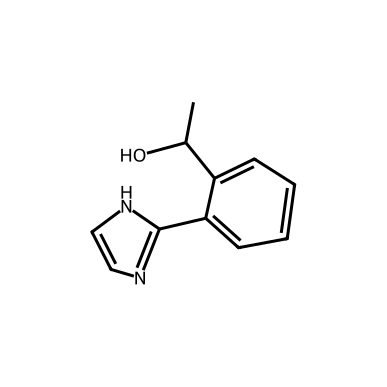 CC(O)c1ccccc1-c1ncc[nH]1